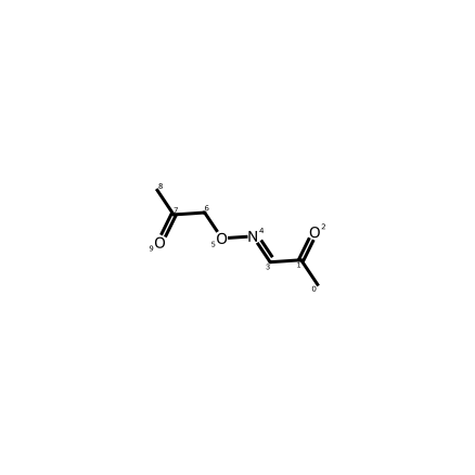 CC(=O)/C=N/OCC(C)=O